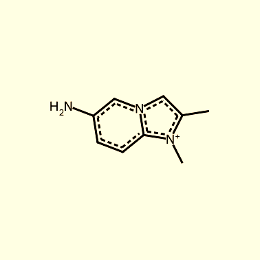 Cc1cn2cc(N)ccc2[n+]1C